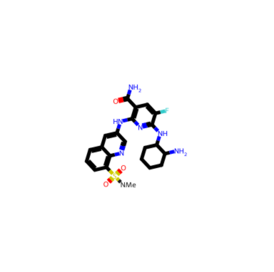 CNS(=O)(=O)c1cccc2cc(Nc3nc(NC4CCCCC4N)c(F)cc3C(N)=O)cnc12